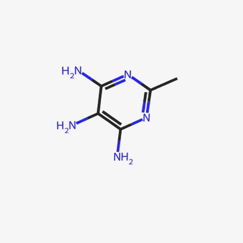 Cc1nc(N)c(N)c(N)n1